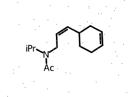 CC(=O)N(C/C=C\C1CC=CCC1)C(C)C